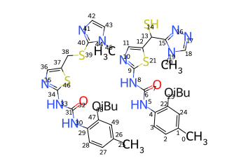 Cc1ccc(NC(=O)Nc2ncc(C(S)c3nncn3C)s2)c(OCC(C)C)c1.Cc1ccc(NC(=O)Nc2ncc(CSc3nccn3C)s2)c(OCC(C)C)c1